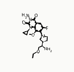 CCOC[C@H](N)[C@@H]1CCN(c2c(F)cc3c(=O)n(N)c(=O)n(C4CC4)c3c2OC)C1